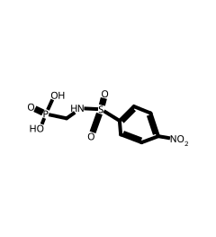 O=[N+]([O-])c1ccc(S(=O)(=O)NCP(=O)(O)O)cc1